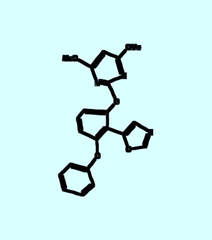 COc1cc(OC)nc(Oc2cccc(Oc3ccccc3)c2-c2cnco2)n1